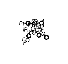 CC(C)[C@H](C(=O)OC(C#N)c1cccc(Oc2ccccc2)c1)c1ccc(OC(F)F)cc1.CCc1ccc(C(=O)NN(C(=O)c2cc(C)cc(C)c2)C(C)(C)C)cc1